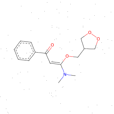 CN(C)C(=CC(=O)c1ccccc1)OCC1COOC1